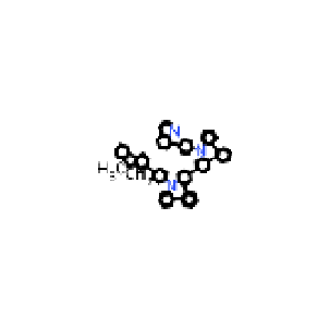 CC1(C)c2ccccc2-c2ccc(-c3ccc(N4c5ccccc5-c5ccccc5-c5cc(-c6ccc7c(c6)N(c6ccc(-c8cccc9cccnc89)cc6)c6ccccc6-c6ccccc6-7)ccc54)cc3)cc21